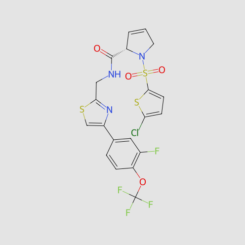 O=C(NCc1nc(-c2ccc(OC(F)(F)F)c(F)c2)cs1)[C@@H]1C=CCN1S(=O)(=O)c1ccc(Cl)s1